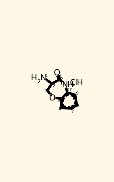 Cl.NC1COc2ccccc2NC1=O